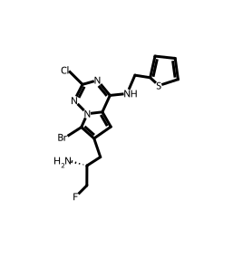 N[C@@H](CF)Cc1cc2c(NCc3cccs3)nc(Cl)nn2c1Br